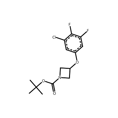 CC(C)(C)OC(=O)N1CC(Oc2cc(F)c(F)c(Cl)c2)C1